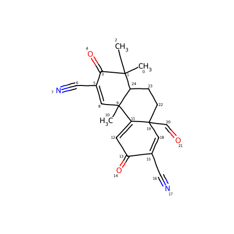 CC1(C)C(=O)C(C#N)=CC2(C)C3=CC(=O)C(C#N)=CC3(C=O)CCC12